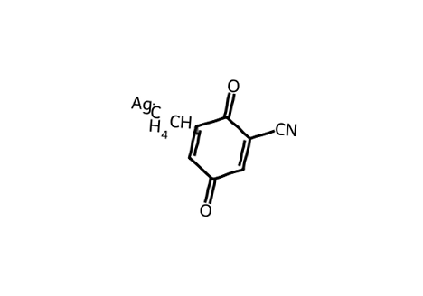 C.C.N#CC1=CC(=O)C=CC1=O.[Ag]